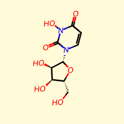 O=c1ccn([C@@H]2O[C@H](CO)[C@@H](O)[C@H]2O)c(=O)n1O